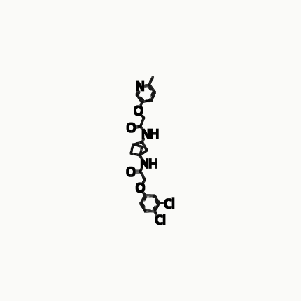 Cc1ccc(OCC(=O)NC2CC3(NC(=O)COc4ccc(Cl)c(Cl)c4)CC2C3)cn1